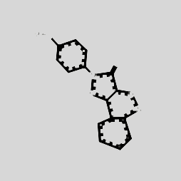 COc1ccc(-n2nc3c4ccccc4[nH]nc-3c2=O)cc1